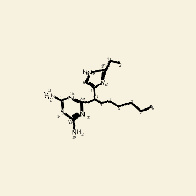 CCCCCCC(c1c[nH]c(CC)n1)c1nc(N)nc(N)n1